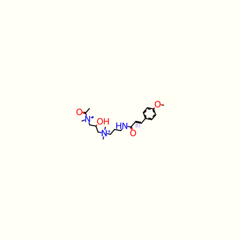 COc1ccc(/C=C/C(=O)NCCC[N+](C)(C)CC(O)C[N+](C)(C)C(C)=O)cc1